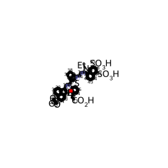 CCn1/c(=C/C=C2C(Sc3ccc(CC(=O)O)cc3)=C(/C=C/C3=[N+](CC)c4ccc(S(=O)(=O)[O-])c5cccc3c45)C3CCC/2C3)c2cccc3c(S(=O)(=O)O)cc(S(=O)(=O)O)c1c32